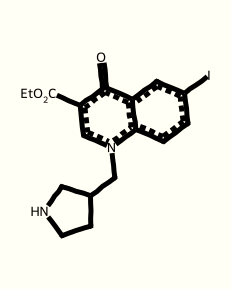 CCOC(=O)c1cn(CC2CCNC2)c2ccc(I)cc2c1=O